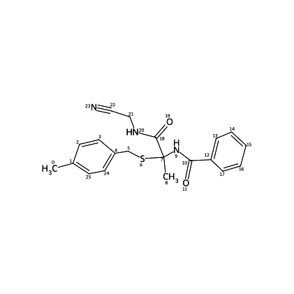 Cc1ccc(CSC(C)(NC(=O)c2ccccc2)C(=O)NCC#N)cc1